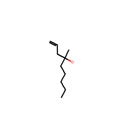 C=CCC(C)([O])CCCCC